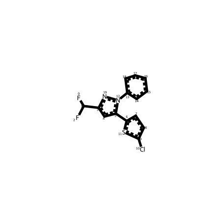 FC(F)c1cc(-c2ccc(Cl)s2)n(-c2ccccc2)n1